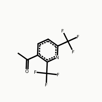 CC(=O)c1ccc(C(F)(F)F)nc1C(F)(F)F